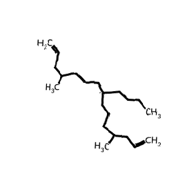 C=CCC(C)CCC[C](CCCC)CCCC(C)CC=C